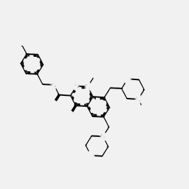 Cn1nc(C(=O)NCc2ccc(Cl)cc2)c(=O)c2cc(CN3CCOCC3)cc(CC3CN(C(=O)O)CCO3)c21